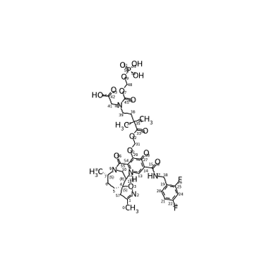 CC1=NO[C@@]2(CC[C@H](C)N3C[C@H]2n2cc(C(=O)NCc4ccc(F)cc4F)c(=O)c(OCOC(=O)C(C)(C)CCN(CC(=O)O)C(=O)OCOP(=O)(O)O)c2C3=O)C1